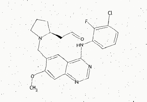 COc1cc2ncnc(Nc3cccc(Cl)c3F)c2cc1CN1CCC[C@H]1CC=O